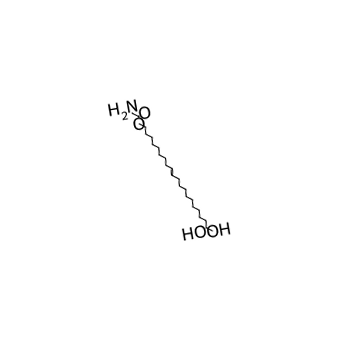 NCC(=O)OCCCCCCCCC=CCCCCCCCCCC(O)O